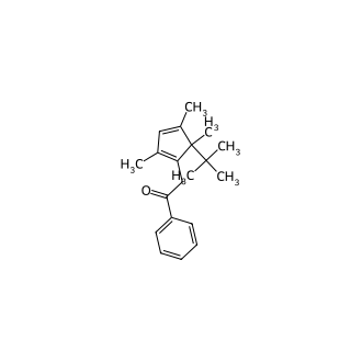 CC1=CC(C)=C(CC(=O)c2ccccc2)C1(C)C(C)(C)C